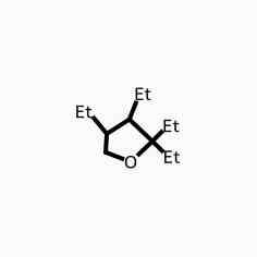 CCC1COC(CC)(CC)C1CC